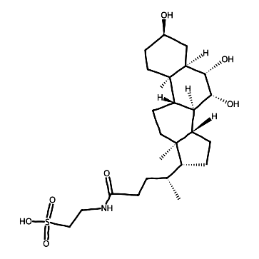 C[C@H](CCC(=O)NCCS(=O)(=O)O)[C@H]1CC[C@H]2[C@@H]3[C@@H](O)[C@@H](O)[C@@H]4C[C@H](O)CC[C@]4(C)[C@H]3CC[C@]12C